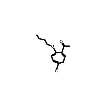 CCCCOC1=CC=C(Cl)CC=C1C(C)=O